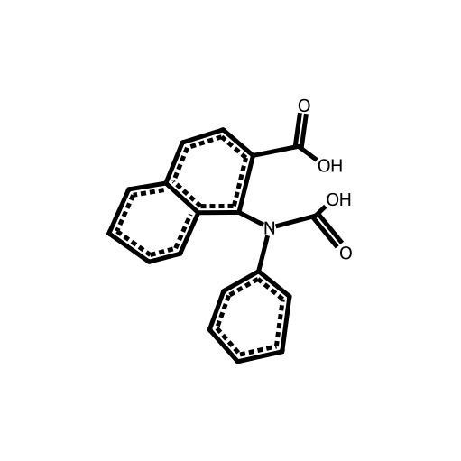 O=C(O)c1ccc2ccccc2c1N(C(=O)O)c1ccccc1